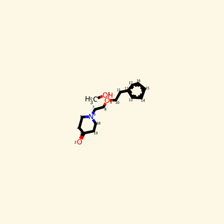 CO.O=C1CCN(CCOCCc2ccccc2)CC1